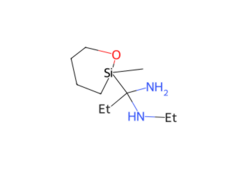 CCNC(N)(CC)[Si]1(C)CCCCO1